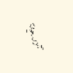 Cc1ccc(C=CC=NNc2ccccc2)cc1